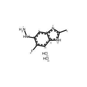 Cc1nc2cc(NN)c(F)cc2[nH]1.Cl.Cl